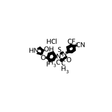 CC1(C)C(=O)N(c2ccc(C#N)c(C(F)(F)F)c2)C(=S)N1c1ccc(OC2CNCC2O)c(F)c1.Cl